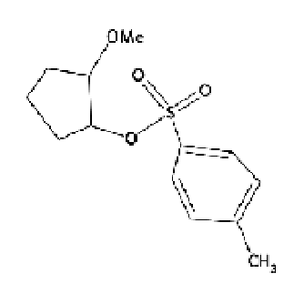 COC1CCCC1OS(=O)(=O)c1ccc(C)cc1